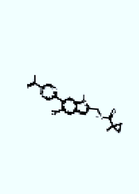 C=C(C)c1cnc(-c2cc3[nH]c(CNC(=O)C4(C)CC4)cc3cc2Cl)cn1